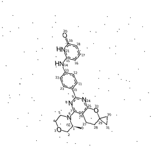 C[C@H]1COCCN1c1nc(-c2ccc(Nc3cccc(=O)[nH]3)cc2)nc2c1CCC1(CC1)O2